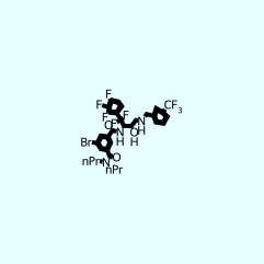 CCCN(CCC)C(=O)c1cc(Br)cc(C(=O)N[C@@H]([C@H](O)CNCc2cccc(C(F)(F)F)c2)C(F)(F)c2ccc(F)c(F)c2F)c1